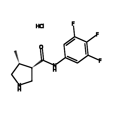 C[C@H]1CNC[C@H]1C(=O)Nc1cc(F)c(F)c(F)c1.Cl